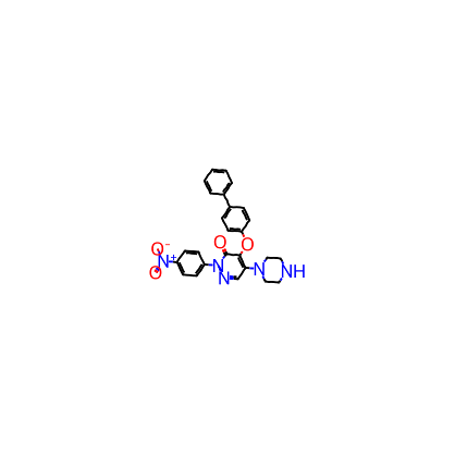 O=c1c(Oc2ccc(-c3ccccc3)cc2)c(N2CCNCC2)cnn1-c1ccc([N+](=O)[O-])cc1